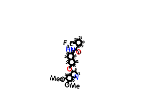 COc1cc2nccc(Oc3ccc4cc(NC(=O)c5ccccc5C(F)(F)F)ccc4c3)c2cc1OC